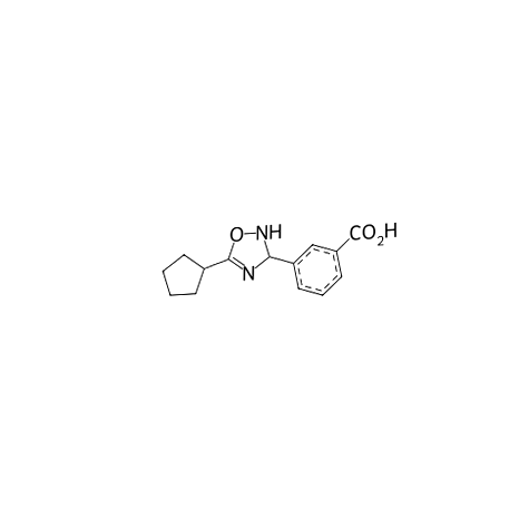 O=C(O)c1cccc(C2N=C(C3CCCC3)ON2)c1